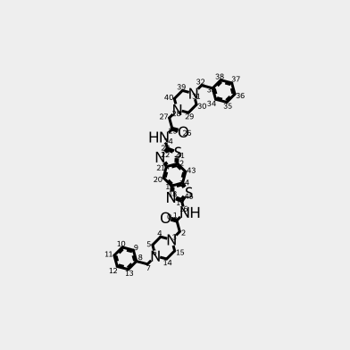 O=C(CN1CCN(Cc2ccccc2)CC1)Nc1nc2cc3nc(NC(=O)CN4CCN(Cc5ccccc5)CC4)sc3cc2s1